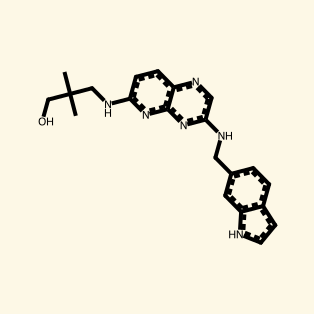 CC(C)(CO)CNc1ccc2ncc(NCc3ccc4cc[nH]c4c3)nc2n1